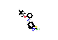 CC(C)(C)[Si](C)(C)O[C@@H]1CCCC[C@H]1Nc1ccc2nc(Cl)sc2c1